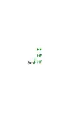 F.F.F.F.[Am]